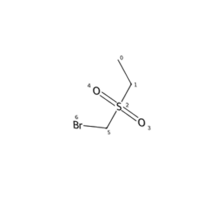 CCS(=O)(=O)CBr